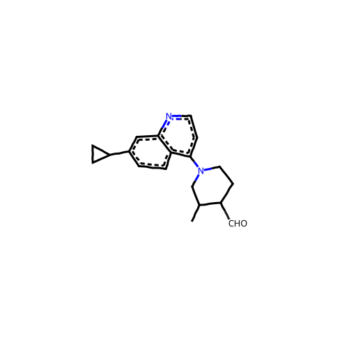 CC1CN(c2ccnc3cc(C4CC4)ccc23)CCC1C=O